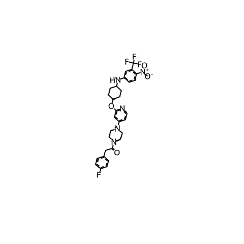 O=C(Cc1ccc(F)cc1)N1CCN(c2ccnc(OC3CCC(Nc4ccc([N+](=O)[O-])c(C(F)(F)F)c4)CC3)c2)CC1